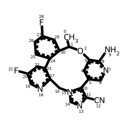 CC1Oc2cc(cnc2N)-c2c(C#N)ncn2Cc2ncc(F)cc2-c2ccc(F)cc21